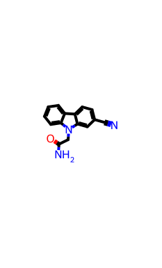 N#Cc1ccc2c3ccccc3n(CC(N)=O)c2c1